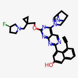 C#Cc1cccc2cc(O)cc(-c3ncc4c(N5CC6CCC(C5)N6)nc(OCC5(CN6CC[C@@H](F)C6)CC5)nc4n3)c12